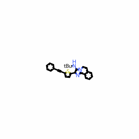 CC(C)(C)Nc1c(-c2ccc(C#Cc3ccccc3)s2)nc2c3ccccc3ccn12